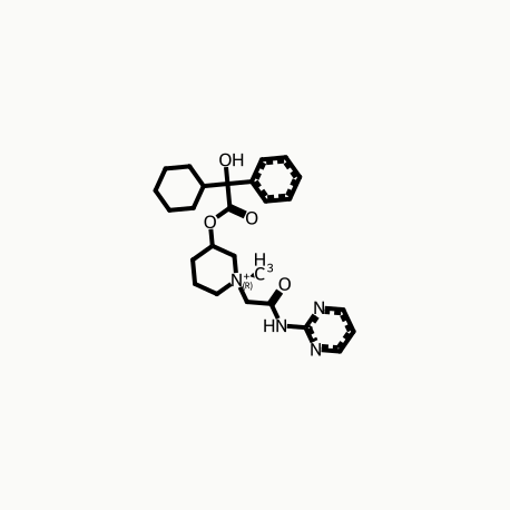 C[N@@+]1(CC(=O)Nc2ncccn2)CCCC(OC(=O)C(O)(c2ccccc2)C2CCCCC2)C1